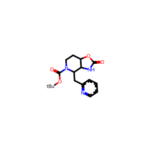 CC(C)(C)OC(=O)N1CCC2OC(=O)NC2C1Cc1ccccn1